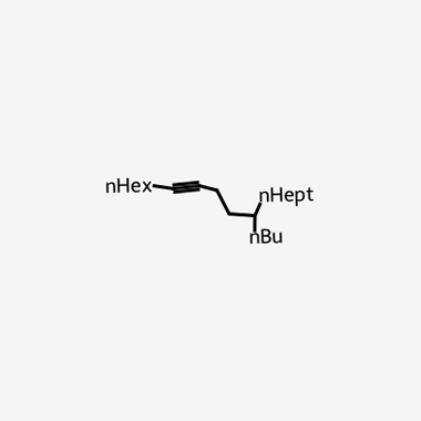 [CH2]CCCCCC#CCCC(CCCC)CCCCCC[CH2]